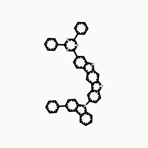 c1ccc(-c2ccc3c(c2)c2ccccc2n3-c2ccc3oc4cc5oc6cc(-c7nc(-c8ccccc8)nc(-c8ccccc8)n7)ccc6c5cc4c3c2)cc1